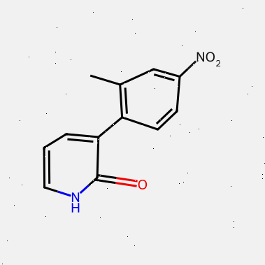 Cc1cc([N+](=O)[O-])ccc1-c1ccc[nH]c1=O